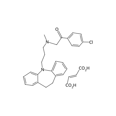 CN(CCCN1c2ccccc2CCc2ccccc21)CC(=O)c1ccc(Cl)cc1.O=C(O)C=CC(=O)O